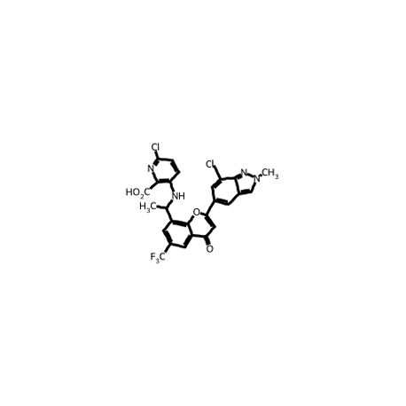 CC(Nc1ccc(Cl)nc1C(=O)O)c1cc(C(F)(F)F)cc2c(=O)cc(-c3cc(Cl)c4nn(C)cc4c3)oc12